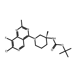 Cc1nc(N2CCC[C@@](C)(NC(=O)OC(C)(C)C)C2)c2cnc(Cl)c(F)c2n1